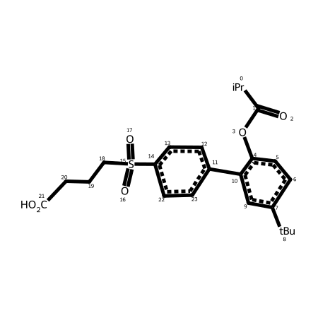 CC(C)C(=O)Oc1ccc(C(C)(C)C)cc1-c1ccc(S(=O)(=O)CCCC(=O)O)cc1